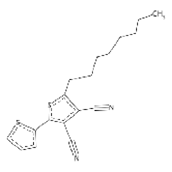 CCCCCCCCc1sc(-c2cccs2)c(C#N)c1C#N